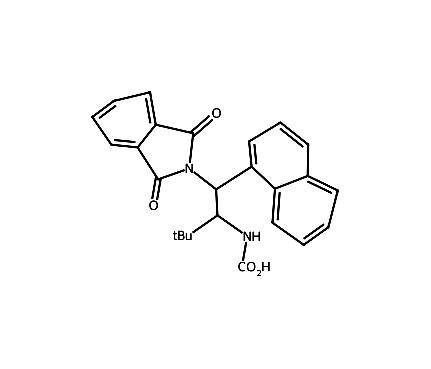 CC(C)(C)C(NC(=O)O)C(c1cccc2ccccc12)N1C(=O)c2ccccc2C1=O